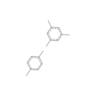 Cc1cc(C)cc(C)c1.Cc1ccc(C)cc1